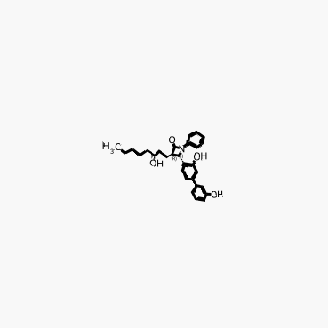 CCCCC[C@@H](O)CC[C@H]1C(=O)N(c2ccccc2)[C@@H]1c1ccc(-c2cccc(O)c2)cc1O